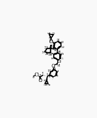 COC(=O)C[C@H](c1cccc(OCc2ccc(-c3cccc(OC4CC4)c3)c([C@H]3CCCC3(C)C)c2)c1)C1CC1